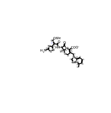 CO/N=C(\C(=O)N[C@@H]1C(=O)N2C(C(=O)[O-])=C(Cn3cn[n+]4c(C)cccc34)CS[C@@H]12)c1nsc(N)n1